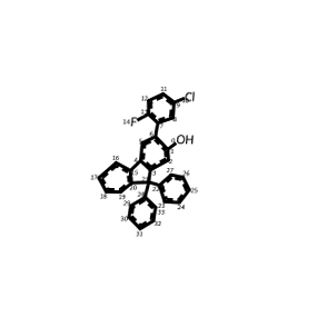 Oc1cc2c(cc1-c1cc(Cl)ccc1F)-c1ccccc1C2(c1ccccc1)c1ccccc1